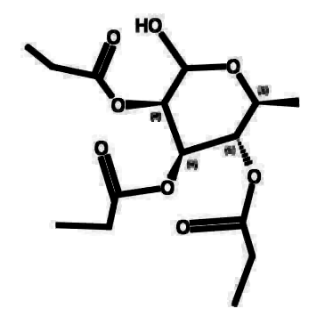 CCC(=O)O[C@@H]1[C@@H](OC(=O)CC)[C@@H](OC(=O)CC)C(O)O[C@H]1C